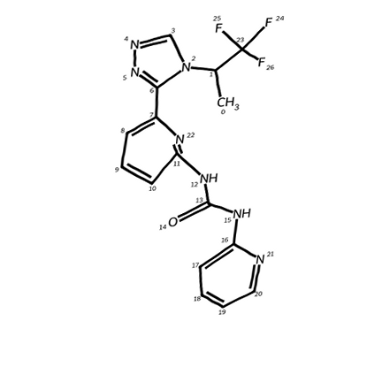 CC(n1cnnc1-c1cccc(NC(=O)Nc2ccccn2)n1)C(F)(F)F